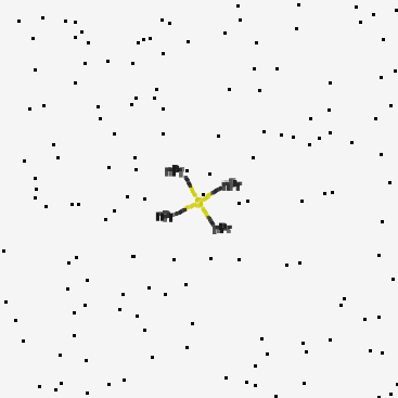 CCCS(CCC)(CCC)CCC